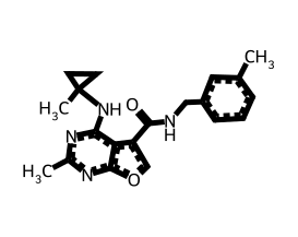 Cc1cccc(CNC(=O)c2coc3nc(C)nc(NC4(C)CC4)c23)c1